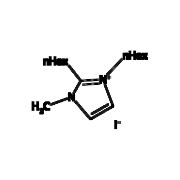 CCCCCCc1n(C)cc[n+]1CCCCCC.[I-]